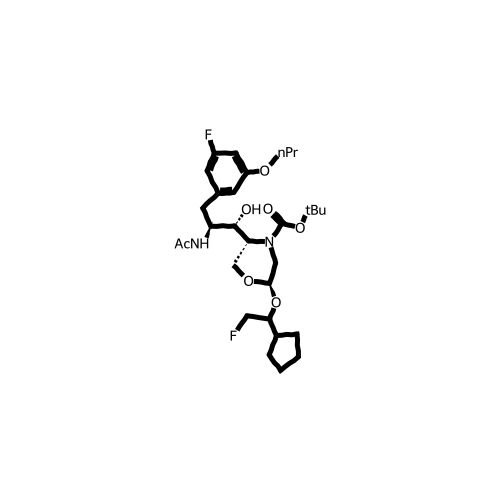 CCCOc1cc(F)cc(C[C@H](NC(C)=O)[C@H](O)[C@H]2CO[C@H](OC(CF)C3CCCC3)CN2C(=O)OC(C)(C)C)c1